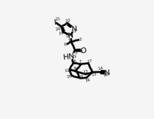 CC(C)(C(=O)NC1C2CC3CC1CC(C#N)(C3)C2)n1cc(I)cn1